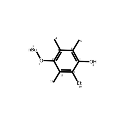 CCCCOc1c(C)c(C)c(O)c(CC)c1C